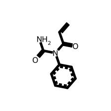 C=CC(=O)N(C(N)=O)c1ccccc1